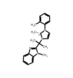 Cc1ccccc1N1C=CN(C(C)(C)c2nc3ccccc3n2C)[C@@H]1C